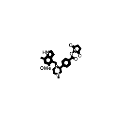 COc1cc(C)c2[nH]ccc2c1CN1CCN(C)CC1c1ccc(C(=O)ON2C(=O)CCC2=O)cc1